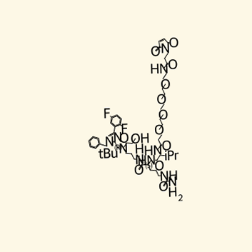 CC(C)C(NC(=O)CCOCCOCCOCCOCCNC(=O)CCN1C(=O)C=CC1=O)C(=O)N[C@@H](CCCNC(N)=O)C(=O)NCCCN(C(=O)CO)[C@@H](c1nc(-c2cc(F)ccc2F)cn1Cc1ccccc1)C(C)(C)C